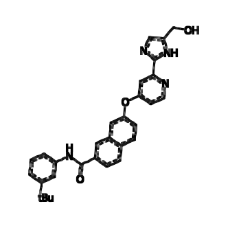 CC(C)(C)c1cccc(NC(=O)c2ccc3ccc(Oc4ccnc(-c5ncc(CO)[nH]5)c4)cc3c2)c1